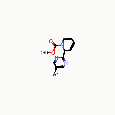 CC(=O)c1cnc(C2C=CCCN2C(=O)OC(C)(C)C)nc1